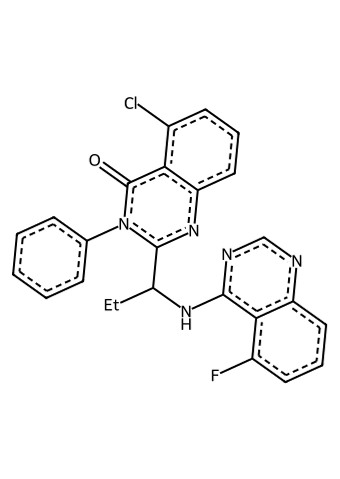 CCC(Nc1ncnc2cccc(F)c12)c1nc2cccc(Cl)c2c(=O)n1-c1ccccc1